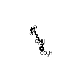 CC(=NNC(=O)CCCCCN1C(=O)C=CC1=O)c1ccc(C(=O)O)cc1